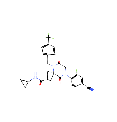 N#Cc1ccc(N2CC(=O)N(Cc3ccc(C(F)(F)F)cc3)[C@]3(C[C@H](C(=O)NC4CC4)C3)C2=O)c(F)c1